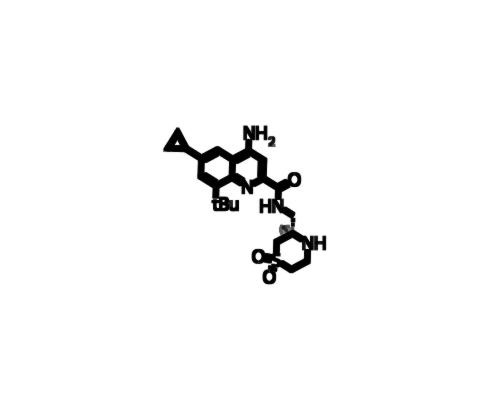 CC(C)(C)c1cc(C2CC2)cc2c(N)cc(C(=O)NC[C@H]3CS(=O)(=O)CCN3)nc12